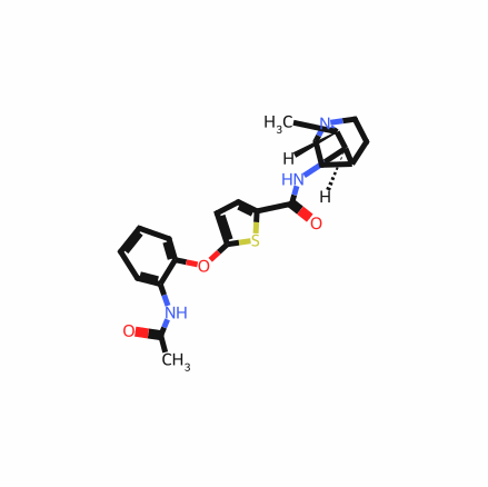 CC(=O)Nc1ccccc1Oc1ccc(C(=O)N[C@@H]2C3CCN(CC3)[C@H]2C)s1